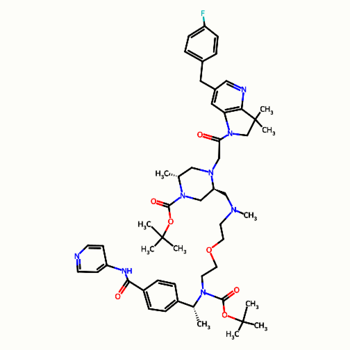 C[C@@H]1CN(CC(=O)N2CC(C)(C)c3ncc(Cc4ccc(F)cc4)cc32)[C@@H](CN(C)CCOCCN(C(=O)OC(C)(C)C)[C@H](C)c2ccc(C(=O)Nc3ccncc3)cc2)CN1C(=O)OC(C)(C)C